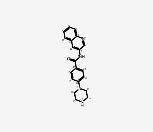 O=C(Nc1cnc2ccccc2c1)c1ccc(N2CCNCC2)cc1